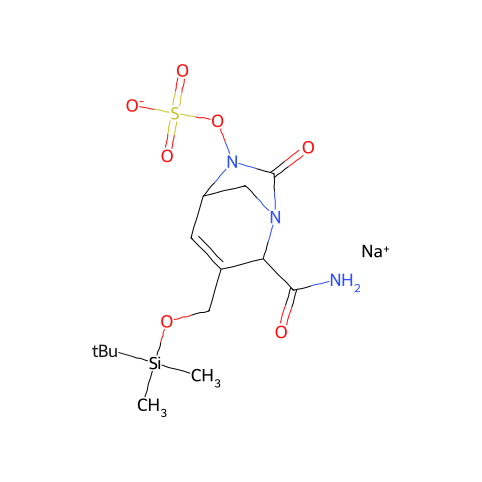 CC(C)(C)[Si](C)(C)OCC1=CC2CN(C(=O)N2OS(=O)(=O)[O-])C1C(N)=O.[Na+]